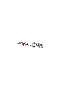 CCCCCCC(C/C=C\CCCCCCCC(=O)OC)O[Si](C)(C)C(C)(C)C